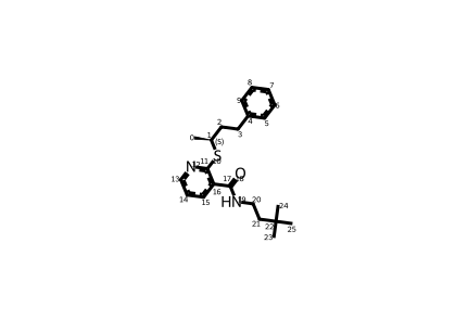 C[C@@H](CCc1ccccc1)Sc1ncccc1C(=O)NCCC(C)(C)C